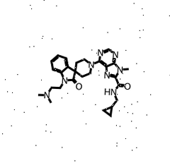 CN(C)CCN1C(=O)C2(CCN(c3ncnc4c3nc(C(=O)NCC3CC3)n4C)CC2)c2ccccc21